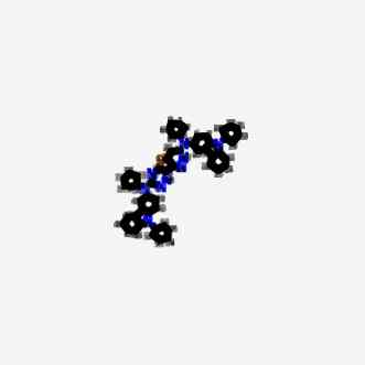 c1ccc(N(c2ccc3c(c2)c2ccccc2n3-c2ccccc2)c2cc3sc4nc(N(c5ccccc5)c5ccc6c(c5)c5ccccc5n6-c5ccccc5)nnc4c3nn2)cc1